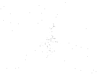 Nc1nc(OC(c2ccc(Cl)cc2-c2cccc(N3CCCC3=O)c2)C(F)(F)F)cc(N2CCC3(CC2)CN[C@H](C(=O)O)C3)n1